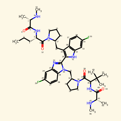 CCC[C@H](NC(=O)[C@H](C)NC)C(=O)N1CCC[C@H]1Cc1c(-c2nc3cc(F)ccc3n2C[C@@H]2CCCN2C(=O)C(NC(=O)[C@H](C)NC)C(C)(C)C)[nH]c2cc(F)ccc12